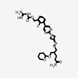 N=C(N)NC(=O)OCc1cccc(-c2cnc(N3CC(=NOCC(CCC(N)=O)COC4CCCCO4)C3)nc2)c1F